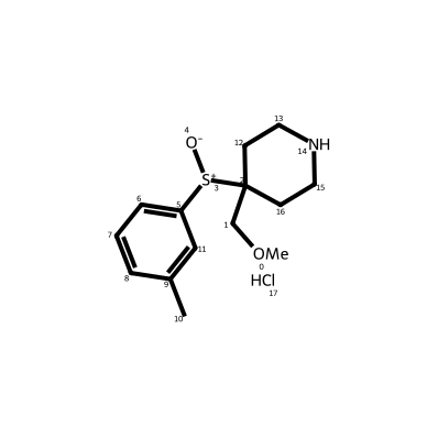 COCC1([S+]([O-])c2cccc(C)c2)CCNCC1.Cl